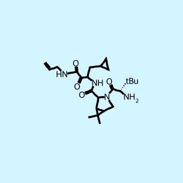 C=CCNC(=O)C(=O)C(CC1CC1)NC(=O)C1C2C(CN1C(=O)[C@@H](N)C(C)(C)C)C2(C)C